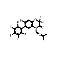 CC(C)=C=CN1C(=O)C(F)(F)Oc2cc(F)c(-c3c(F)c(F)c(F)c(F)c3F)cc21